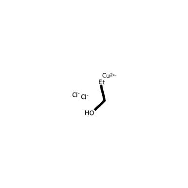 CCCO.[Cl-].[Cl-].[Cu+2]